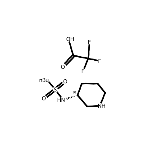 CCCCS(=O)(=O)N[C@@H]1CCCNC1.O=C(O)C(F)(F)F